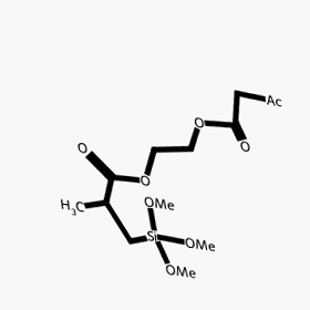 CO[Si](CC(C)C(=O)OCCOC(=O)CC(C)=O)(OC)OC